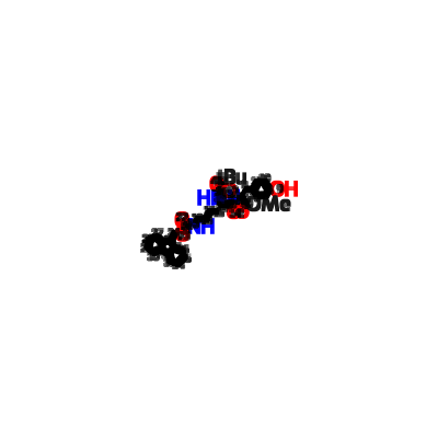 COC(=O)[C@H](Cc1ccc(O)cc1)NC(=O)[C@H](CCCCNC(=O)OCC1c2ccccc2-c2ccccc21)NC(=O)OC(C)(C)C